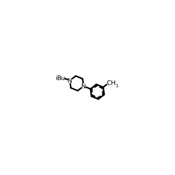 CCC(C)N1CCN(c2cccc(C)c2)CC1